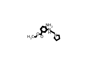 CCOC(=O)c1ccc(N)c(NCCN2CCCC2)c1